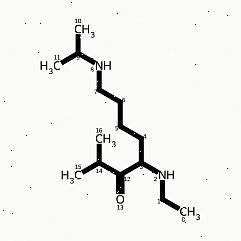 CCNC(CCCCNC(C)C)C(=O)C(C)C